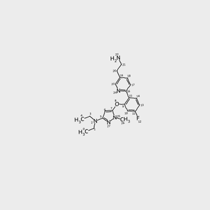 CCN(CC)c1cc(Oc2cc(F)ccc2-c2ccc(CCN)cn2)n(C)n1